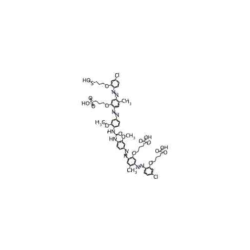 COc1cc(N=Nc2cc(C)c(/N=N/c3ccc(Cl)cc3OCCCS(=O)(=O)O)cc2OCCCS(=O)(=O)O)ccc1NC(=O)Nc1ccc(/N=N/c2cc(C)c(/N=N/c3ccc(Cl)cc3OCCCSO)cc2OCCCS(=O)(=O)O)cc1OC